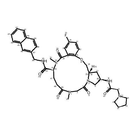 CN1CC(=O)N2C[C@H](NC(=O)CN3CCCC3)C[C@H]2COc2ccc(F)cc2C(=O)N(C)[C@H](C(=O)NCc2ccc3ccccc3c2)CCC1=O